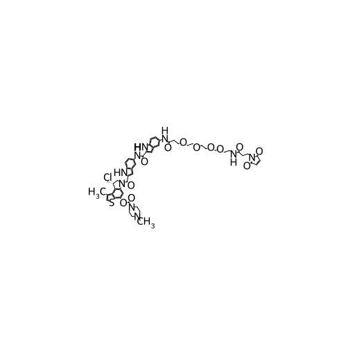 Cc1csc2c(OC(=O)N3CCN(C)CC3)cc3c(c12)[C@H](CCl)CN3C(=O)c1cc2cc(NC(=O)c3cc4cc(NC(=O)CCOCCOCCOCOCCNC(=O)CCN5C(=O)C=CC5=O)ccc4[nH]3)ccc2[nH]1